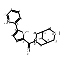 O=C(c1ccc(-c2ccccn2)o1)N1CC2CNCC(C2)C1